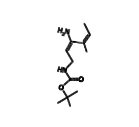 C/C=C(C)\C(N)=C/CNC(=O)OC(C)(C)C